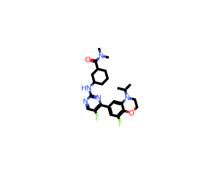 CC(C)N1CCOc2c(F)cc(-c3nc(NC4CCCC(C(=O)N(C)C)C4)ncc3F)cc21